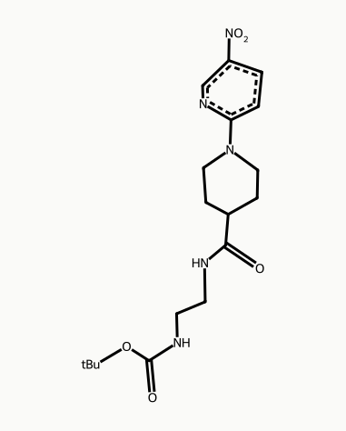 CC(C)(C)OC(=O)NCCNC(=O)C1CCN(c2ccc([N+](=O)[O-])cn2)CC1